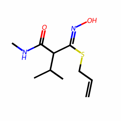 C=CCS/C(=N\O)C(C(=O)NC)C(C)C